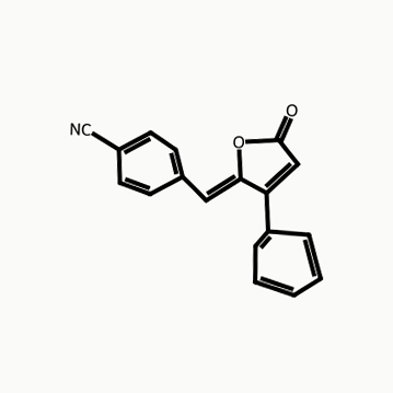 N#Cc1ccc(C=C2OC(=O)C=C2c2ccccc2)cc1